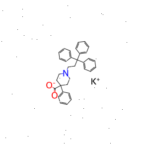 O=C([O-])C1(c2ccccc2)CCN(CCC(c2ccccc2)(c2ccccc2)c2ccccc2)CC1.[K+]